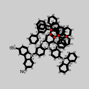 CC(C)(C)c1ccc2c(c1)c1cc(C#N)ccc1n2-c1ccc2c(c1)Oc1cc([Si](c3ccccc3)(c3ccccc3)c3cccc(-c4ccccc4)c3)c([Si](c3ccccc3)(c3ccccc3)c3cccc(-c4ccccc4)c3)c3c1B2c1ccc(-n2c4ccccc4c4ccccc42)cc1N3c1ccccc1-c1ccccc1